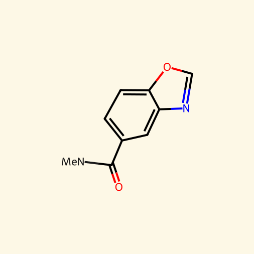 CNC(=O)c1ccc2ocnc2c1